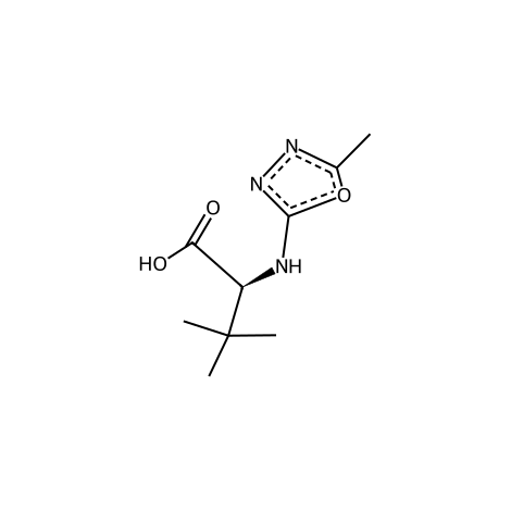 Cc1nnc(N[C@H](C(=O)O)C(C)(C)C)o1